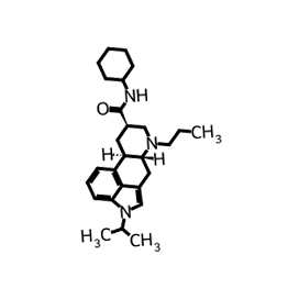 CCCN1C[C@H](C(=O)NC2CCCCC2)C[C@@H]2c3cccc4c3c(cn4C(C)C)C[C@H]21